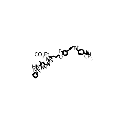 CCOC(=O)c1nc(N(C)c2cc(C)c(Nc3nc4ccccc4s3)nn2)sc1CCCOc1ccc(C#CCN(C)Cc2ccc(C3(C(F)(F)F)N=N3)cc2)cc1F